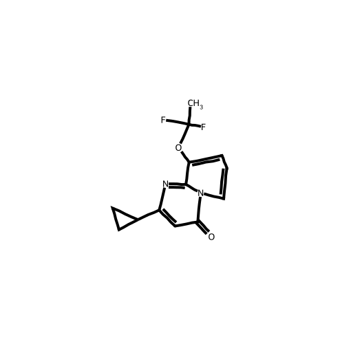 CC(F)(F)Oc1cccn2c(=O)cc(C3CC3)nc12